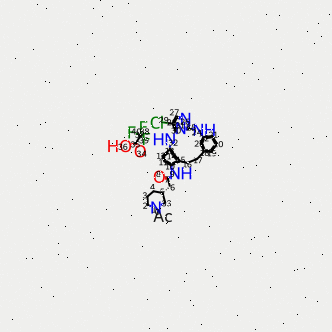 CC(=O)N1CCC[C@H](CC(=O)Nc2ccc3cc2CCc2cccc(c2)Nc2ncc(Cl)c(n2)N3)C1.O=C(O)C(F)(F)F